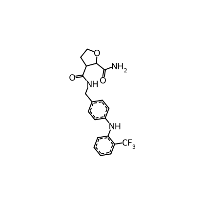 NC(=O)C1OCCC1C(=O)NCc1ccc(Nc2ccccc2C(F)(F)F)cc1